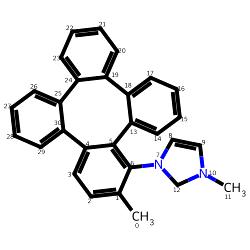 Cc1ccc2c(c1N1C=CN(C)C1)-c1ccccc1-c1ccccc1-c1ccccc1-2